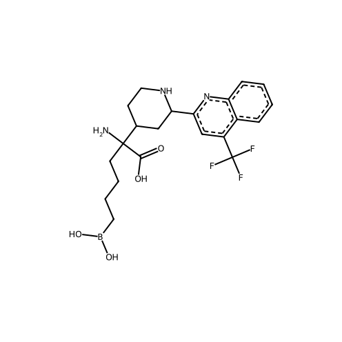 NC(CCCCB(O)O)(C(=O)O)C1CCNC(c2cc(C(F)(F)F)c3ccccc3n2)C1